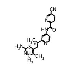 CC(C)=C(C[C@@H](C)c1cc(NC(=O)c2ccc(C#N)cn2)ccn1)SC(=N)N